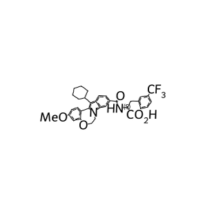 COc1ccc2c(c1)OCCn1c-2c(C2CCCCC2)c2ccc(C(=O)N[C@@H](Cc3cccc(C(F)(F)F)c3)C(=O)O)cc21